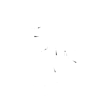 CC[C@]1(O)CC[C@H]2[C@@H]3[C@@H]4C[C@@H]4C4=CC(=O)C(C(=O)O)C[C@]4(C)[C@]34O[C@@H]4C[C@@]21C